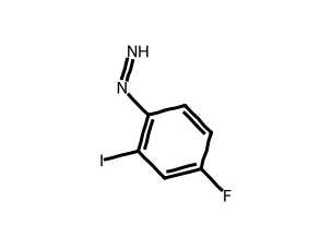 N=Nc1ccc(F)cc1I